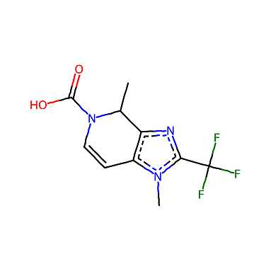 CC1c2nc(C(F)(F)F)n(C)c2C=CN1C(=O)O